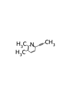 CC#Cc1ccc(C)c(C)n1